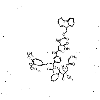 C=CC(=O)OCC(C)(C)C(=O)C(=O)N1CCCC[C@H]1C(=O)OC(CCc1ccc(OC)c(OC)c1)c1cccc(NC(=O)CC(NC(=O)OCC2c3ccccc3-c3ccccc32)C(=O)O)c1